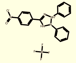 F[B-](F)(F)F.O=[N+]([O-])c1ccc(C2=N[NH+](c3ccccc3)N(c3ccccc3)N2)cc1